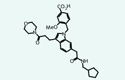 COc1cc(C(=O)O)ccc1Cn1cc(CCC(=O)N2CCOCC2)c2ccc(CC(=O)NCC3CCCC3)cc21